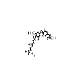 CNCCCNCCCOc1c(C)cc(Oc2c(I)cc(CC(=O)O)cc2I)cc1I